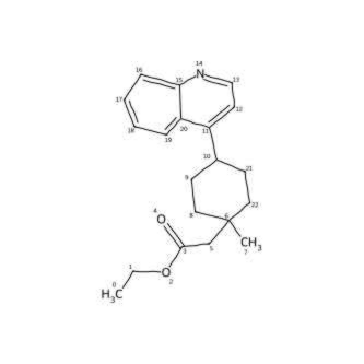 CCOC(=O)CC1(C)CCC(c2ccnc3ccccc23)CC1